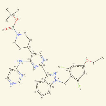 CCOc1cc(F)c(Cn2nc(-c3ncc(C4CCN(C(=O)OC(C)(C)C)CC4)c(Nc4ccncn4)n3)c3ccccc32)c(F)c1